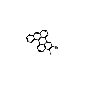 Brc1cc2c3cccc4cc5ccccc5c(c5cccc(c1Br)c25)c43